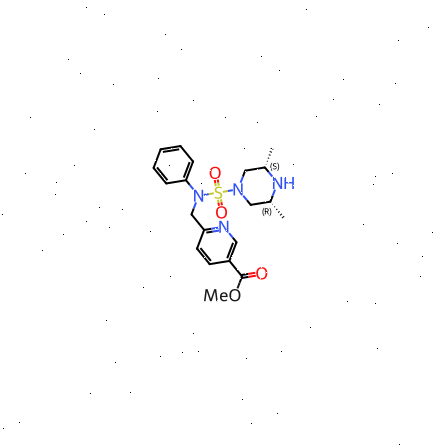 COC(=O)c1ccc(CN(c2ccccc2)S(=O)(=O)N2C[C@@H](C)N[C@@H](C)C2)nc1